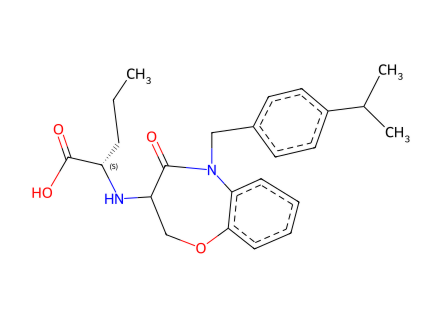 CCC[C@H](NC1COc2ccccc2N(Cc2ccc(C(C)C)cc2)C1=O)C(=O)O